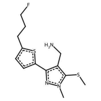 CSc1c(CN)c(-c2ccc(CCCF)s2)nn1C